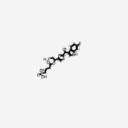 CCC(OC(=O)CCCP(=O)(O)O)c1csc(C(=O)c2c[nH]c3cc(F)ccc23)n1